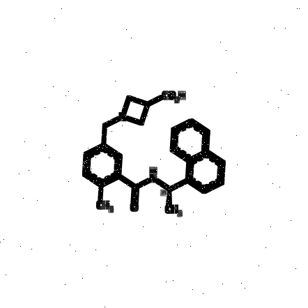 Cc1ccc(CN2CC(C(=O)O)C2)cc1C(=O)N[C@H](C)c1cccc2ccccc12